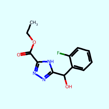 CCOC(=O)c1nnc(C(O)c2ccccc2F)[nH]1